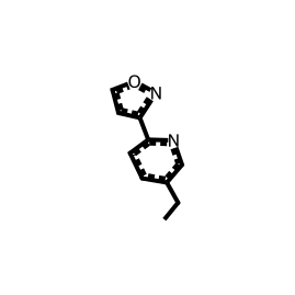 CCc1ccc(-c2ccon2)nc1